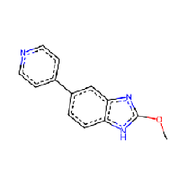 COc1nc2cc(-c3ccncc3)ccc2[nH]1